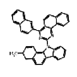 CC1C=Cc2c(ccc3c4ccccc4n(-c4nc(-c5ccc6ccccc6c5)c5ccc6ccccc6c5n4)c23)C1